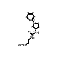 CC(=O)NCCNC(=O)N[C@@H]1CCN(c2ccccn2)C1